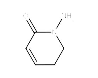 NN1CCC=CC1=O